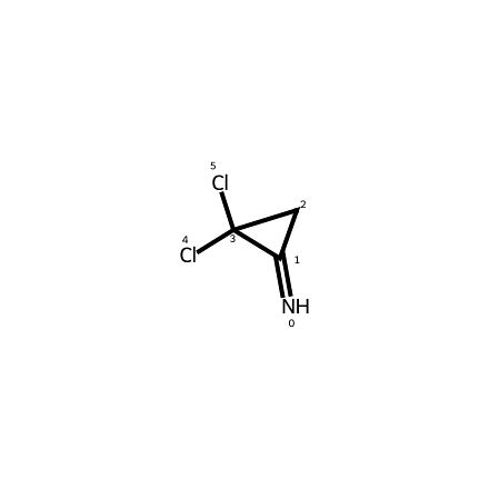 N=C1CC1(Cl)Cl